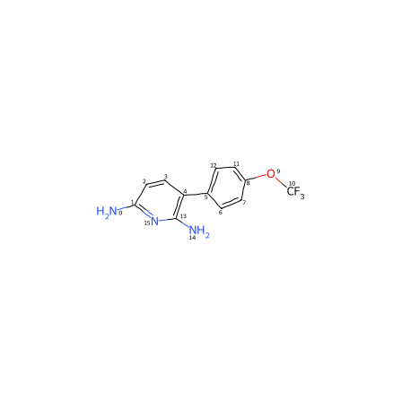 Nc1ccc(-c2ccc(OC(F)(F)F)cc2)c(N)n1